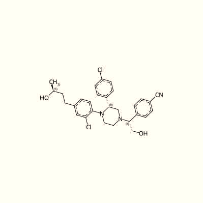 C[C@H](O)CCc1ccc(N2CCN([C@@H](CO)c3ccc(C#N)cc3)C[C@H]2c2ccc(Cl)cc2)c(Cl)c1